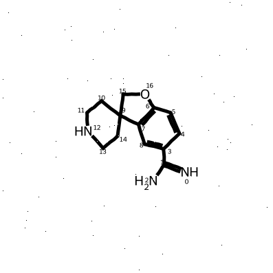 N=C(N)c1ccc2c(c1)C1(CCNCC1)CO2